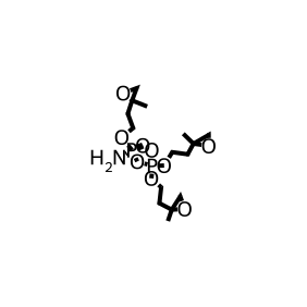 CC1(CCOP(N)(=O)OP(=O)(OCCC2(C)CO2)OCCC2(C)CO2)CO1